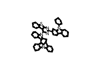 c1ccc(-n2c3ccccc3c3ccc(-c4nc(-n5c6ccccc6c6c7c8ccccc8n8c9ccccc9c(cc65)c78)c5c(n4)sc4ccccc45)cc32)cc1